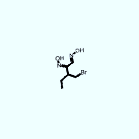 CCC(CBr)C(C=NO)=NO